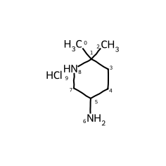 CC1(C)CCC(N)CN1.Cl